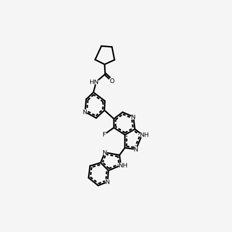 O=C(Nc1cncc(-c2cnc3[nH]nc(-c4nc5cccnc5[nH]4)c3c2F)c1)C1CCCC1